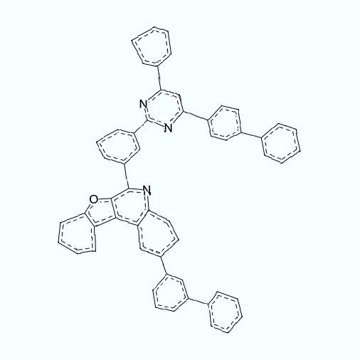 c1ccc(-c2ccc(-c3cc(-c4ccccc4)nc(-c4cccc(-c5nc6ccc(-c7cccc(-c8ccccc8)c7)cc6c6c5oc5ccccc56)c4)n3)cc2)cc1